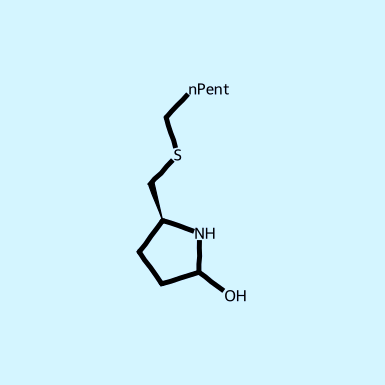 CCCCCCSC[C@@H]1CCC(O)N1